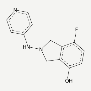 Oc1ccc(F)c2c1CN(Nc1ccncc1)C2